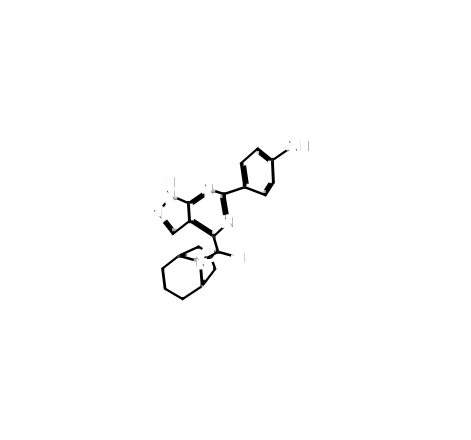 Nc1ccc(-c2nc(C(N3C4CCCC3COC4)C(F)(F)F)c3cn[nH]c3n2)cc1